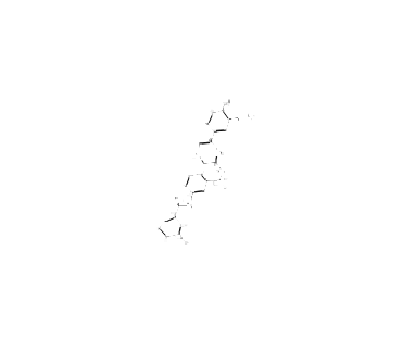 COc1cc(-c2cncc(N[C@@H](C)c3cccc(NC(=O)c4cccc(C)c4)c3)n2)ccc1O